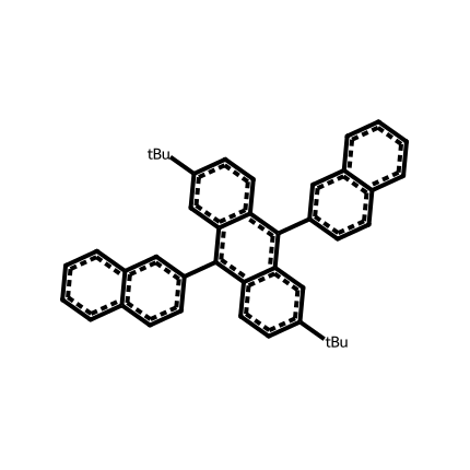 CC(C)(C)c1ccc2c(-c3ccc4ccccc4c3)c3cc(C(C)(C)C)ccc3c(-c3ccc4ccccc4c3)c2c1